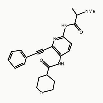 CNC(C)C(=O)Nc1ccc(NC(=O)C2CCOCC2)c(C#Cc2ccccc2)n1